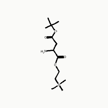 CC(C)(C)OC(=O)CC(N)C(=O)OCC[Si](C)(C)C